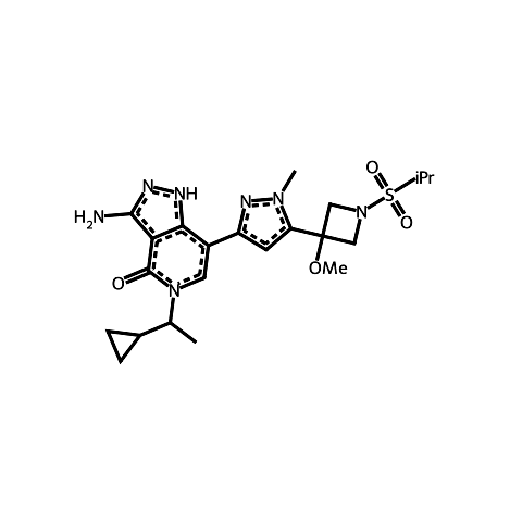 COC1(c2cc(-c3cn(C(C)C4CC4)c(=O)c4c(N)n[nH]c34)nn2C)CN(S(=O)(=O)C(C)C)C1